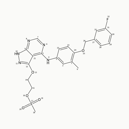 Cc1cc(Nc2ncnc3[nH]nc(OCCOS(C)(=O)=O)c23)ccc1OCc1cccc(F)c1